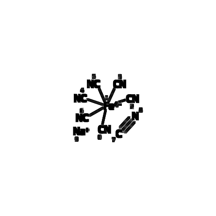 N#[C][Fe-4]([C]#N)([C]#N)([C]#N)([C]#N)[C]#N.[C-]#N.[Na+]